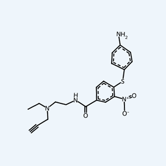 C#CCN(CC)CCNC(=O)c1ccc(Sc2ccc(N)cc2)c([N+](=O)[O-])c1